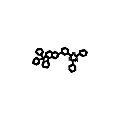 c1ccc(-c2nc(-c3ccccc3)nc(-c3cccc(-c4ccc5c6c(ccc5c4)C(c4ccccc4)(c4ccccc4)c4ccccc4-6)c3)n2)cc1